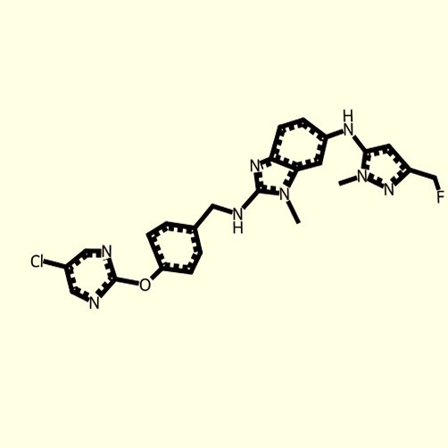 Cn1nc(CF)cc1Nc1ccc2nc(NCc3ccc(Oc4ncc(Cl)cn4)cc3)n(C)c2c1